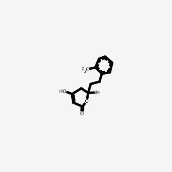 CC(C)C1(CCc2ccccc2C(F)(F)F)CC(O)=CC(=O)O1